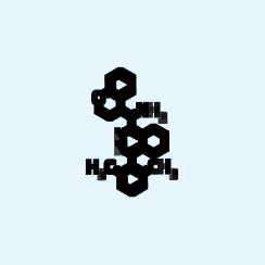 Cc1cccc(C)c1-c1nnc(C(N)C2CCOc3ccccc32)c2c1CCCC2